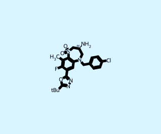 Cc1c(F)c(-c2nnc(C(C)(C)C)o2)cc2c1S(=O)(=O)C[C@H](N)CN2Cc1ccc(Cl)cc1